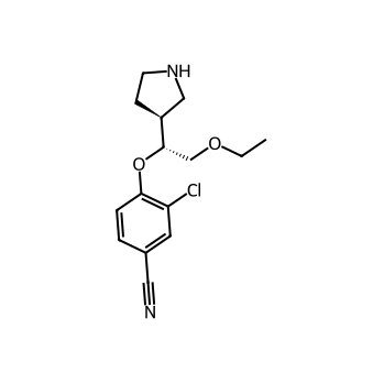 CCOC[C@H](Oc1ccc(C#N)cc1Cl)[C@H]1CCNC1